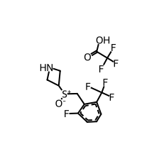 O=C(O)C(F)(F)F.[O-][S+](Cc1c(F)cccc1C(F)(F)F)C1CNC1